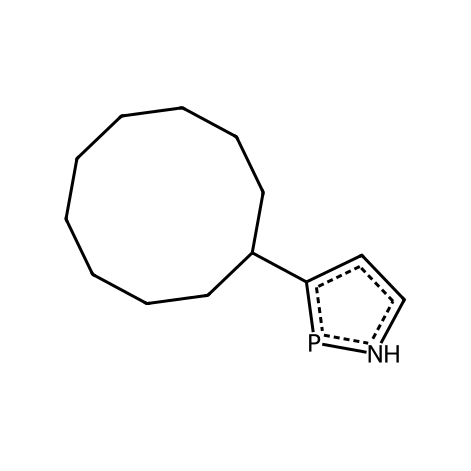 c1cc(C2CCCCCCCCC2)p[nH]1